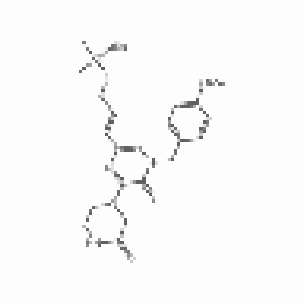 COc1ccc(Cn2cc(C=CCO[Si](C)(C)C(C)(C)C)nc(N3CCNC(=O)C3)c2=O)cc1